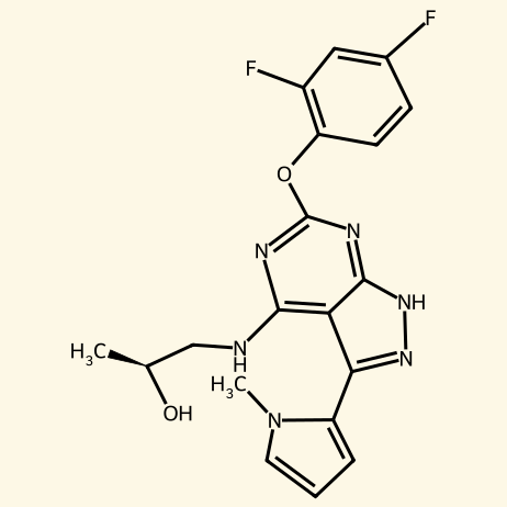 C[C@H](O)CNc1nc(Oc2ccc(F)cc2F)nc2[nH]nc(-c3cccn3C)c12